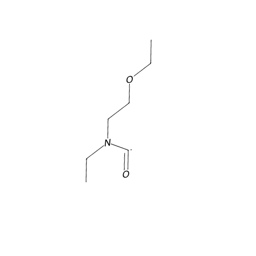 CCOCCN([C]=O)CC